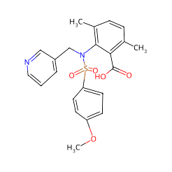 COc1ccc(S(=O)(=O)N(Cc2cccnc2)c2c(C)ccc(C)c2C(=O)O)cc1